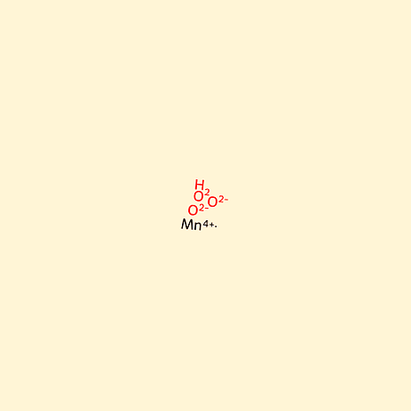 O.[Mn+4].[O-2].[O-2]